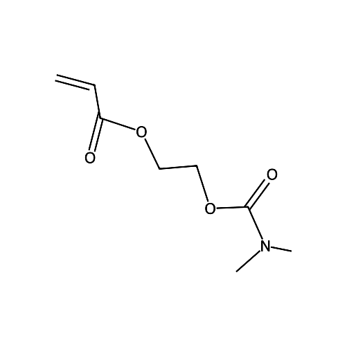 C=CC(=O)OCCOC(=O)N(C)C